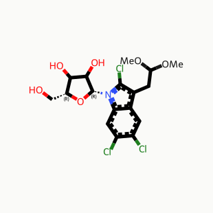 COC(Cc1c(Cl)n([C@@H]2O[C@H](CO)C(O)C2O)c2cc(Cl)c(Cl)cc12)OC